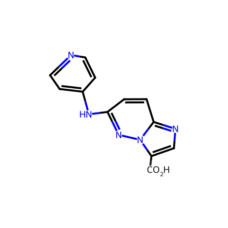 O=C(O)c1cnc2ccc(Nc3ccncc3)nn12